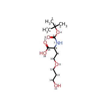 CC(C)(C)OC(=O)NC(CCOCCCO)C(=O)O